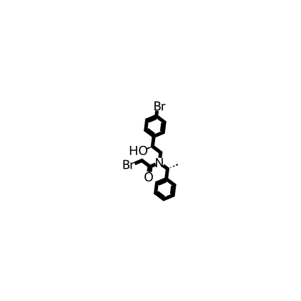 C[C@H](c1ccccc1)N(C[C@H](O)c1ccc(Br)cc1)C(=O)CBr